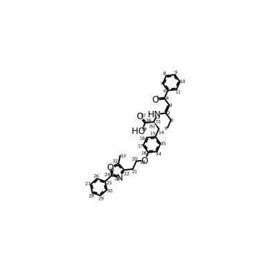 CCC(=CC(=O)c1ccccc1)N[C@@H](Cc1ccc(OCCc2nc(-c3ccccc3)oc2C)cc1)C(=O)O